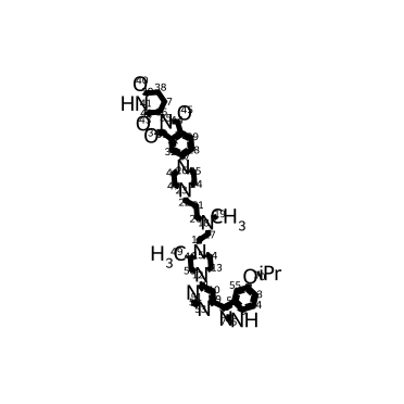 CC(C)Oc1ccc2[nH]nc(-c3cc(N4CCN(CCN(C)CCCN5CCN(c6ccc7c(c6)C(=O)N(C6CCC(=O)NC6=O)C7=O)CC5)[C@@H](C)C4)ncn3)c2c1